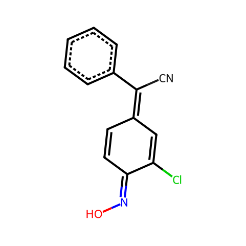 N#CC(=C1C=CC(=NO)C(Cl)=C1)c1ccccc1